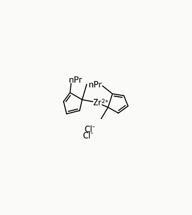 CCCC1=CC=C[C]1(C)[Zr+2][C]1(C)C=CC=C1CCC.[Cl-].[Cl-]